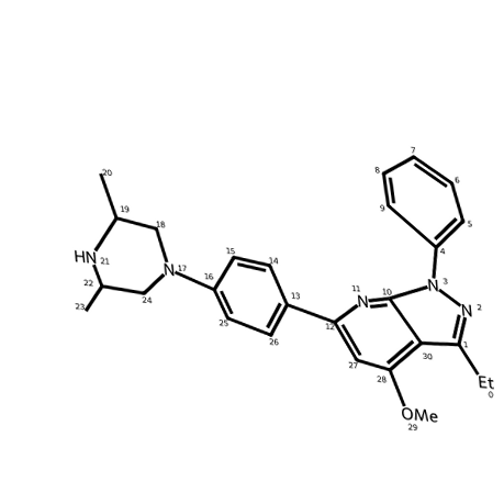 CCc1nn(-c2ccccc2)c2nc(-c3ccc(N4CC(C)NC(C)C4)cc3)cc(OC)c12